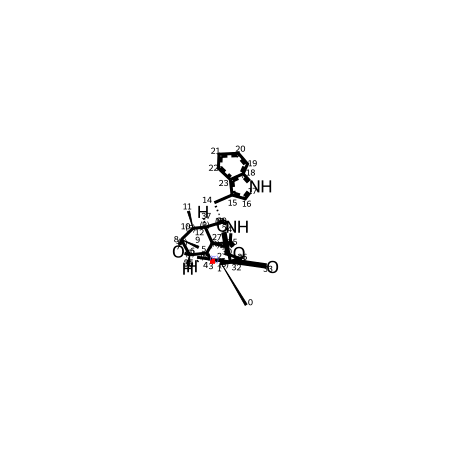 C[C@H]1C/C=C/[C@H]2[C@@H]3O[C@]3(C)[C@@H](C)[C@H]3[C@H](Cc4c[nH]c5ccccc45)NC(=O)[C@]32C(=O)CCC(=O)C1